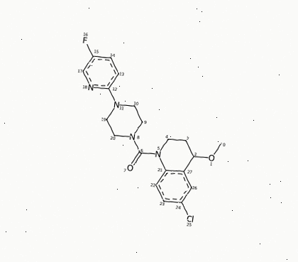 COC1CCN(C(=O)N2CCN(c3ccc(F)cn3)CC2)c2ccc(Cl)cc21